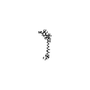 C[C@](O)(CCCCCCCCSCCCC(F)(F)C(F)(F)F)C(=O)Nc1ccc(C#N)c(C(F)(F)F)c1